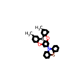 Cc1ccc2c(c1)B1c3cc(C)ccc3Oc3cc(N4c5ccccc5Sc5ccccc54)cc(c31)O2